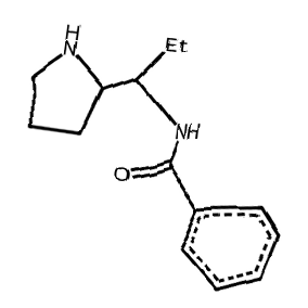 CCC(NC(=O)c1ccccc1)C1CCCN1